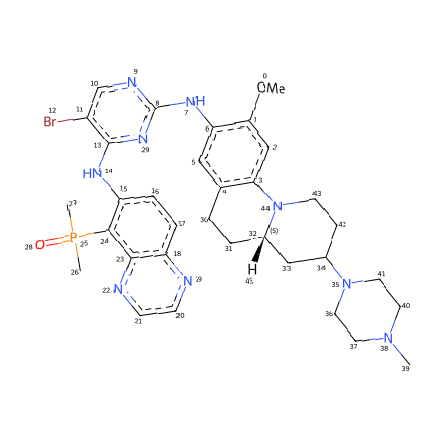 COc1cc2c(cc1Nc1ncc(Br)c(Nc3ccc4nccnc4c3P(C)(C)=O)n1)CC[C@H]1CC(N3CCN(C)CC3)CCN21